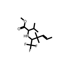 C/C=C/C(C)(C)C(NC(C(=O)OC)C(C)C)C(F)(F)F